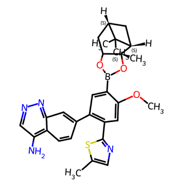 COc1cc(-c2ncc(C)s2)c(-c2ccc3c(N)cnnc3c2)cc1B1OC2C[C@@H]3C[C@@H](C3(C)C)[C@]2(C)O1